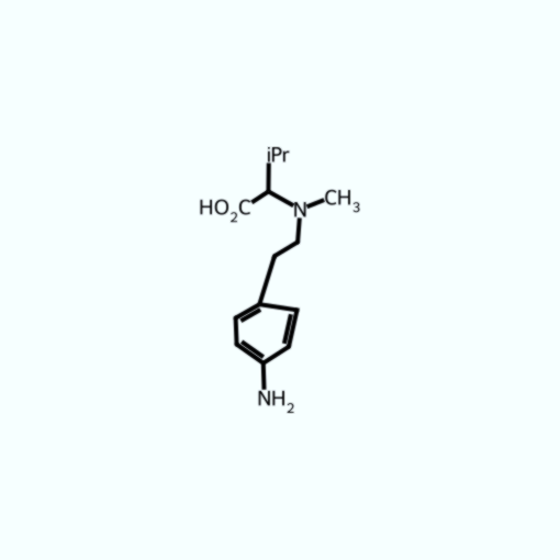 CC(C)C(C(=O)O)N(C)CCc1ccc(N)cc1